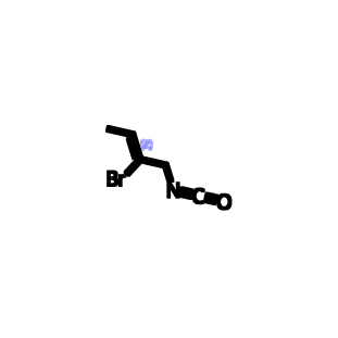 C/C=C(\Br)CN=C=O